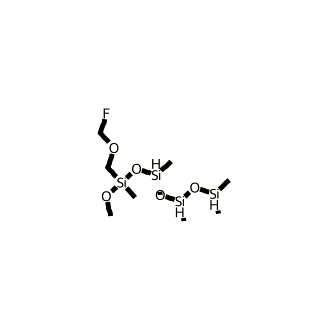 CO[Si](C)(COCF)O[SiH](C)O[SiH](C)O[SiH](C)C